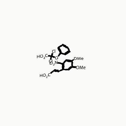 COc1cc(C=CC(=O)O)c([N+](=O)[O-])cc1OC.O=C(O)C(Cl)(Cl)Oc1ccccc1